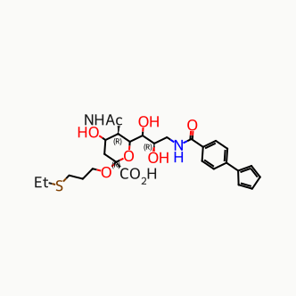 CCSCCCO[C@]1(C(=O)O)CC(O)[C@@H](NC(C)=O)C(C(O)[C@H](O)CNC(=O)c2ccc(C3=C=CC=C3)cc2)O1